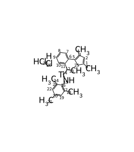 CC1=CC(C)=C(c2ccccc2[CH](C)[Ti][NH]c2c(C)cc(C)cc2C)C1.Cl.Cl